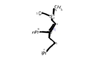 CCC/C(=C\[S+](C)[O-])CC(C)C